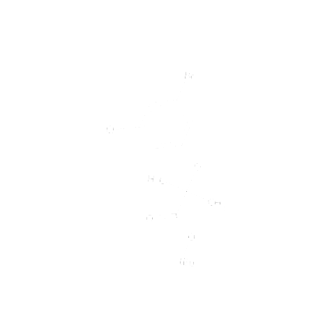 CC(C)(C)OC(=O)C(C)(C)Oc1cc(Cl)cc(Br)c1